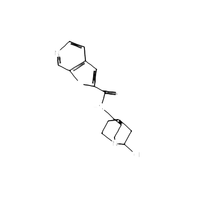 CC1CC2CCN1CC2NC(=O)c1cc2ccncc2s1